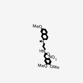 COc1ccc2c(c1)CC(N(C)CCCNC(=O)Cc1cc(OC)c(OC)cc1[N+](=O)[O-])CC2